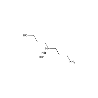 Br.Br.NCCCNCCCO